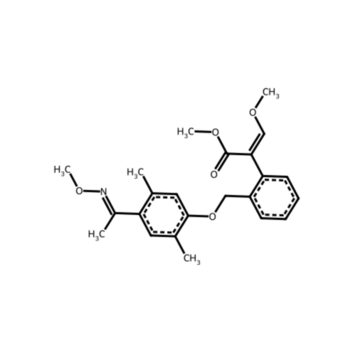 COC=C(C(=O)OC)c1ccccc1COc1cc(C)c(C(C)=NOC)cc1C